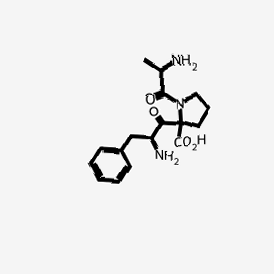 CC(N)C(=O)N1CCCC1(C(=O)O)C(=O)C(N)Cc1ccccc1